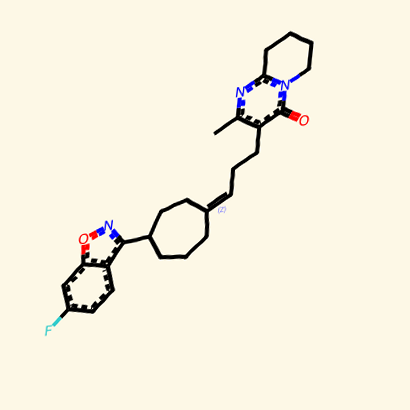 Cc1nc2n(c(=O)c1CC/C=C1/CCCC(c3noc4cc(F)ccc34)CC1)CCCC2